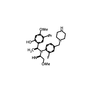 C=C(c1cc(C(C)C)c(OC)cc1O)N(C(=N)COC)c1ccc(CN2CCNCC2)cc1F